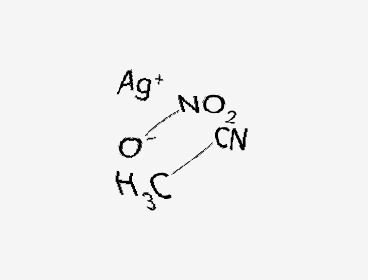 CC#N.O=[N+]([O-])[O-].[Ag+]